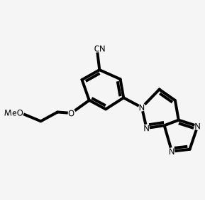 COCCOc1cc(C#N)cc(-n2ccc3ncnc-3n2)c1